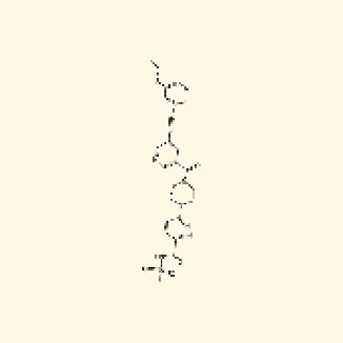 CCOc1cncc(C#Cc2cncc(C(=O)N3CCN(c4ccc(C(=O)NS(C)(=O)=O)nn4)CC3)c2)c1